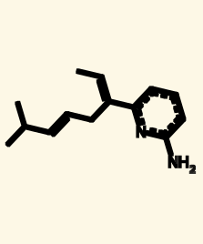 C/C=C(\C/C=C/C(C)C)c1cccc(N)n1